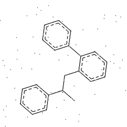 C[C](Cc1ccccc1-c1ccccc1)c1ccccc1